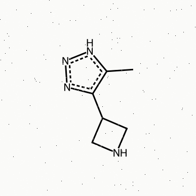 Cc1[nH]nnc1C1CNC1